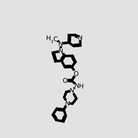 CN(c1ccncc1)n1ccc2cc(OC(=O)NN3CCN(c4ccccc4)CC3)ccc21